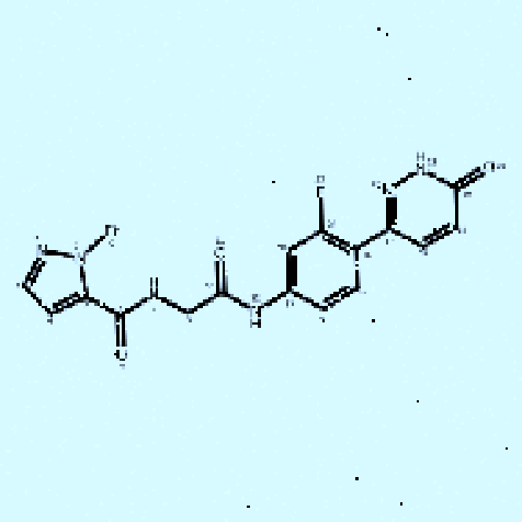 CCn1nccc1C(=O)NCC(=O)Nc1ccc(-c2ccc(=O)[nH]n2)c(F)c1